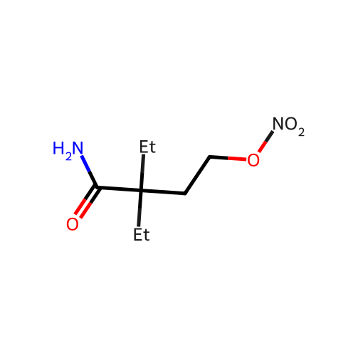 CCC(CC)(CCO[N+](=O)[O-])C(N)=O